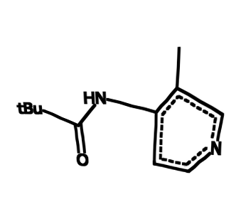 Cc1cnccc1NC(=O)C(C)(C)C